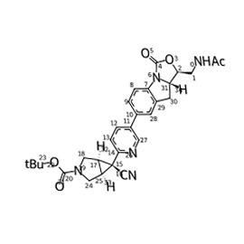 CC(=O)NC[C@@H]1OC(=O)N2c3ccc(-c4ccc([C@@]5(C#N)[C@@H]6CN(C(=O)OC(C)(C)C)C[C@@H]65)nc4)cc3C[C@@H]12